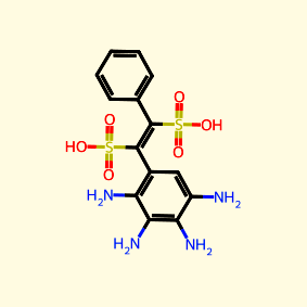 Nc1cc(C(=C(c2ccccc2)S(=O)(=O)O)S(=O)(=O)O)c(N)c(N)c1N